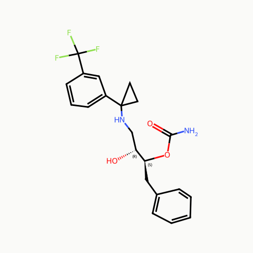 NC(=O)O[C@@H](Cc1ccccc1)[C@H](O)CNC1(c2cccc(C(F)(F)F)c2)CC1